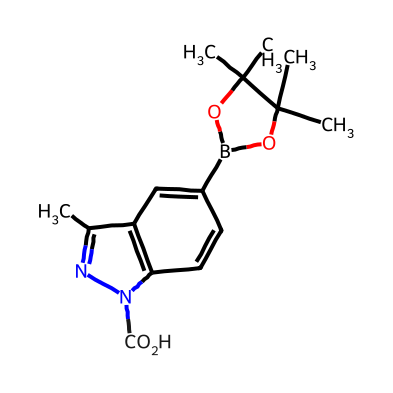 Cc1nn(C(=O)O)c2ccc(B3OC(C)(C)C(C)(C)O3)cc12